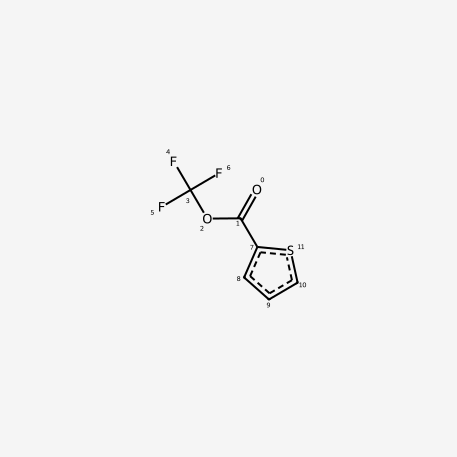 O=C(OC(F)(F)F)c1cccs1